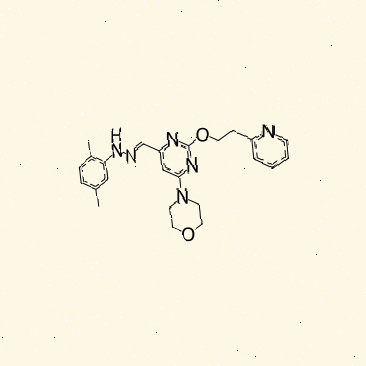 Cc1ccc(C)c(N/N=C/c2cc(N3CCOCC3)nc(OCCc3ccccn3)n2)c1